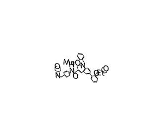 C1CCOC1.CCOc1ccccc1-c1ccc2c(c1)C=C(C(=O)Nc1ccc(CN(C)C3CCOCC3)cc1)CCN2Cc1ccccc1OC